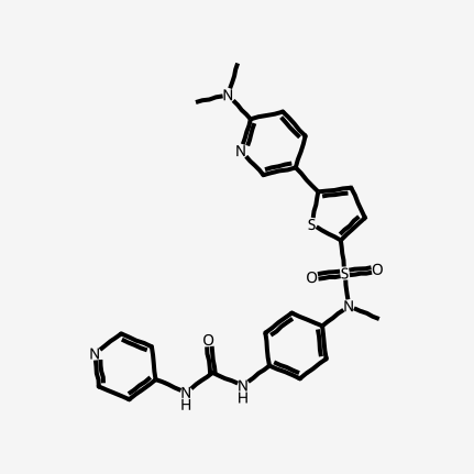 CN(C)c1ccc(-c2ccc(S(=O)(=O)N(C)c3ccc(NC(=O)Nc4ccncc4)cc3)s2)cn1